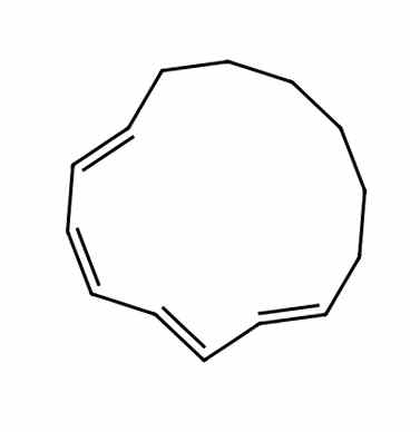 C1=C\C=C\CCCCCC/C=C/C=C/1